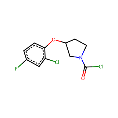 O=C(Cl)N1CCC(Oc2ccc(F)cc2Cl)C1